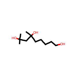 CC(C)(O)CC(C)(O)CCCCCO